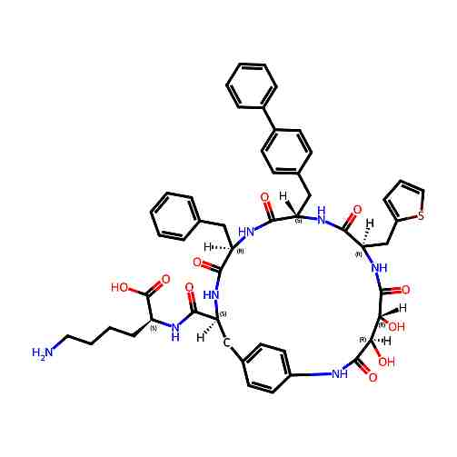 NCCCC[C@H](NC(=O)[C@@H]1Cc2ccc(cc2)NC(=O)[C@H](O)[C@@H](O)C(=O)N[C@H](Cc2cccs2)C(=O)N[C@@H](Cc2ccc(-c3ccccc3)cc2)C(=O)N[C@H](Cc2ccccc2)C(=O)N1)C(=O)O